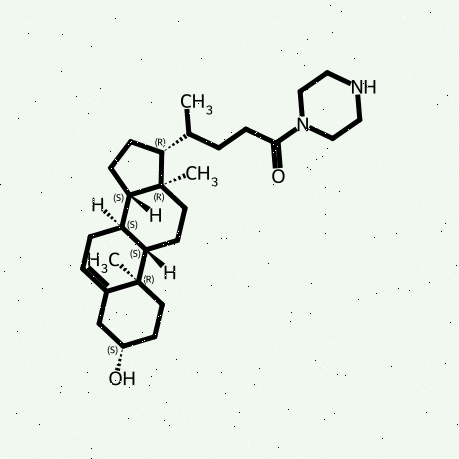 CC(CCC(=O)N1CCNCC1)[C@H]1CC[C@H]2[C@@H]3CC=C4C[C@@H](O)CC[C@]4(C)[C@H]3CC[C@]12C